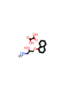 CC(C)NCC(O)COc1cccc2ccccc12.O=C(O)C(=O)O